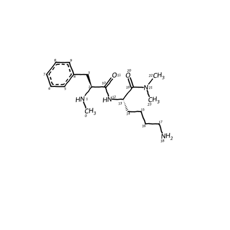 CN[C@@H](Cc1ccccc1)C(=O)N[C@@H](CCCCN)C(=O)N(C)C